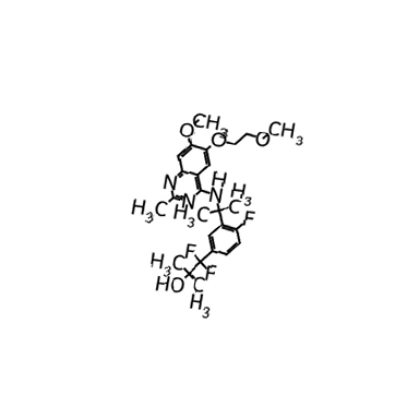 COCCOc1cc2c(NC(C)(C)c3cc(C(F)(F)C(C)(C)O)ccc3F)nc(C)nc2cc1OC